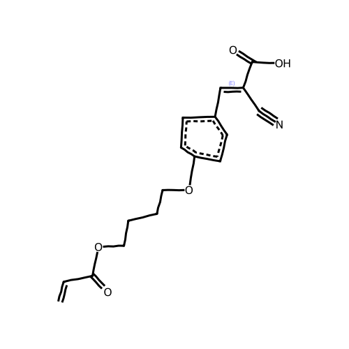 C=CC(=O)OCCCCOc1ccc(/C=C(\C#N)C(=O)O)cc1